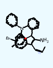 C/C=C\C1=C(N)C(c2ccccc2N(c2ccccc2)c2ccp(C)c2)c2cc(Br)ccc21